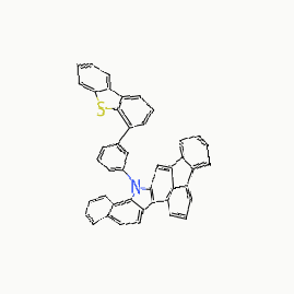 c1cc(-c2cccc3c2sc2ccccc23)cc(-n2c3cc4c5c(cccc5c3c3ccc5ccccc5c32)-c2ccccc2-4)c1